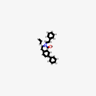 C=CC[C@@H](Cc1ccc(-c2ccccc2)cc1)N(C=O)/C=C/c1ccccc1